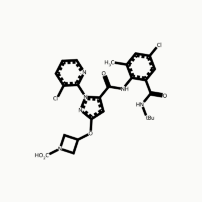 Cc1cc(Cl)cc(C(=O)NC(C)(C)C)c1NC(=O)c1cc(OC2CN(C(=O)O)C2)nn1-c1ncccc1Cl